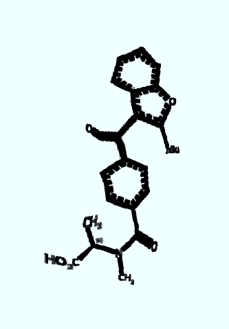 CCCCc1oc2ccccc2c1C(=O)c1ccc(C(=O)N(C)[C@H](C)C(=O)O)cc1